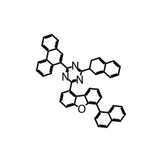 C1=c2ccccc2=CC(c2nc(-c3cc4ccccc4c4ccccc34)nc(-c3cccc4oc5c(-c6cccc7ccccc67)cccc5c34)n2)C1